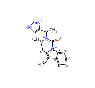 Cc1[nH]cnc1C(C)N1CCc2c(C)c3ccccc3n2C1=O